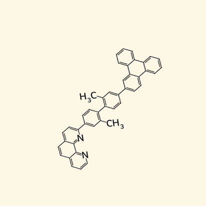 Cc1cc(-c2ccc3c4ccccc4c4ccccc4c3c2)ccc1-c1ccc(-c2ccc3ccc4cccnc4c3n2)cc1C